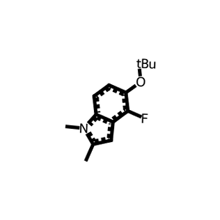 Cc1cc2c(F)c(OC(C)(C)C)ccc2n1C